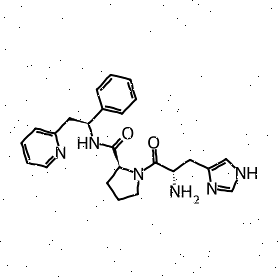 N[C@@H](Cc1c[nH]cn1)C(=O)N1CCC[C@H]1C(=O)N[C@@H](Cc1ccccn1)c1ccccc1